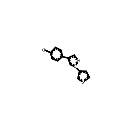 Clc1ccc(-c2cnn(-c3ccsc3)c2)cc1